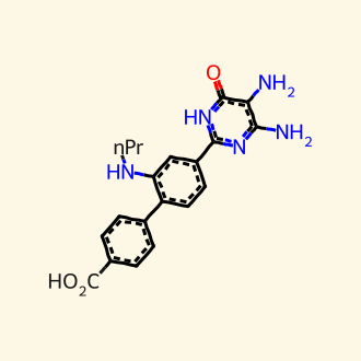 CCCNc1cc(-c2nc(N)c(N)c(=O)[nH]2)ccc1-c1ccc(C(=O)O)cc1